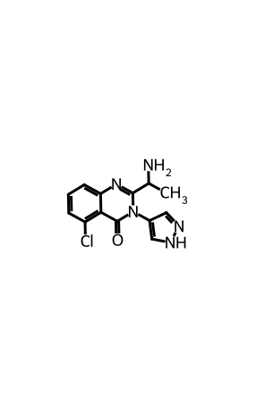 CC(N)c1nc2cccc(Cl)c2c(=O)n1-c1cn[nH]c1